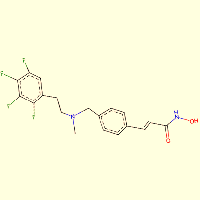 CN(CCc1cc(F)c(F)c(F)c1F)Cc1ccc(/C=C/C(=O)NO)cc1